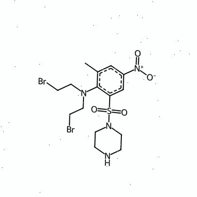 Cc1cc([N+](=O)[O-])cc(S(=O)(=O)N2CCNCC2)c1N(CCBr)CCBr